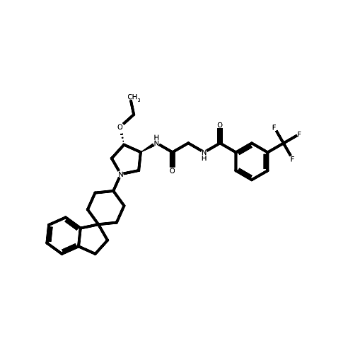 CCO[C@H]1CN(C2CCC3(CCc4ccccc43)CC2)C[C@@H]1NC(=O)CNC(=O)c1cccc(C(F)(F)F)c1